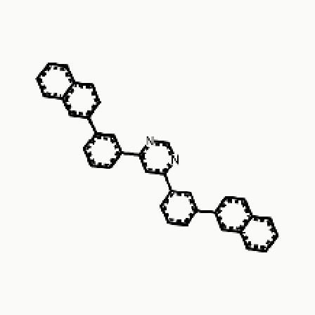 c1cc(-c2ccc3ccccc3c2)cc(-c2cc(-c3cccc(-c4ccc5ccccc5c4)c3)ncn2)c1